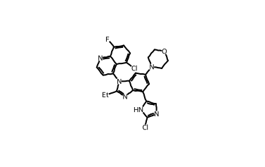 CCc1nc2c(-c3cnc(Cl)[nH]3)cc(N3CCOCC3)cc2n1-c1ccnc2c(F)ccc(Cl)c12